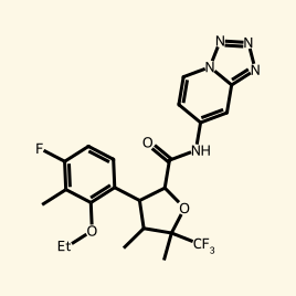 CCOc1c(C2C(C(=O)Nc3ccn4nnnc4c3)OC(C)(C(F)(F)F)C2C)ccc(F)c1C